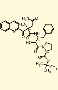 CC(C)(C)OC(=O)[C@@H]1CCCN1C(=O)C(O)[C@H](Cc1ccccc1)NC(=O)[C@@](N)(CC(N)=O)C(=O)c1ccc2ccccc2n1